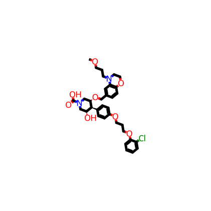 COCCCN1CCOc2ccc(CO[C@H]3CN(C(=O)O)C[C@@H](O)[C@@H]3c3ccc(OCCCOc4ccccc4Cl)cc3)cc21